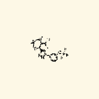 CN1CC(C)(C)COc2c1c(Cl)nn1c(-c3cccc(OC(F)(F)F)c3)nnc21